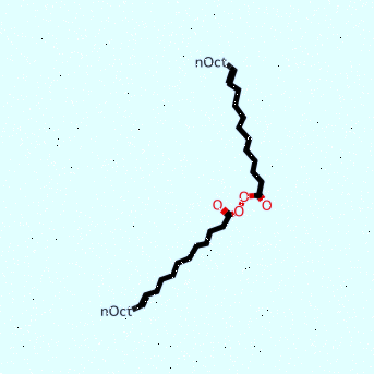 CCCCCCCCC=CCCCCCCCCCC(=O)OOC(=O)CCCCCCCCCC=CCCCCCCCC